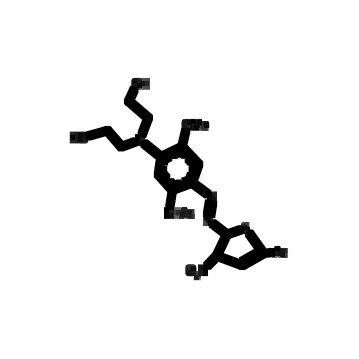 COc1cc(N=NC2SC(C(C)=O)=CC2[N+](=O)[O-])c(NC(C)=O)cc1N(CCO)CCO